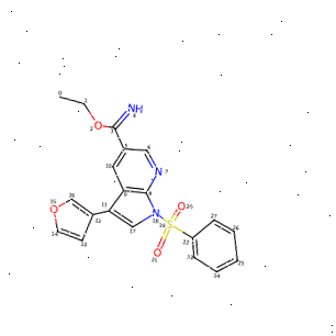 CCOC(=N)c1cnc2c(c1)c(-c1ccoc1)cn2S(=O)(=O)c1ccccc1